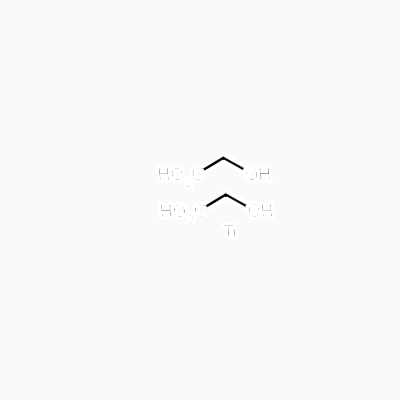 O=C(O)CO.O=C(O)CO.[Ti]